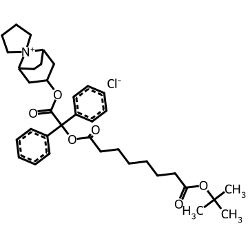 CC(C)(C)OC(=O)CCCCCCC(=O)OC(C(=O)OC1CC2CCC(C1)[N+]21CCCC1)(c1ccccc1)c1ccccc1.[Cl-]